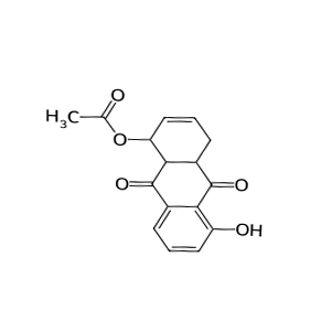 CC(=O)OC1C=CCC2C(=O)c3c(O)cccc3C(=O)C12